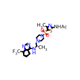 CC(=O)Nc1nc(C)c(S(=O)(=O)N2CCN(C[C@H](C)Nc3ncnc4c(C(F)(F)F)cccc34)CC2)s1